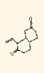 C=CC1C(=O)CCC2CCC(=O)CC21